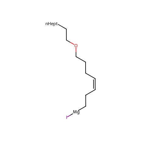 CCCCCCCCCOCCC/C=C\C[CH2][Mg][I]